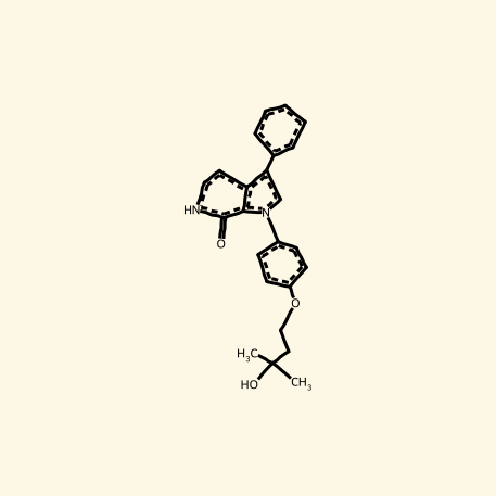 CC(C)(O)CCOc1ccc(-n2cc(-c3ccccc3)c3cc[nH]c(=O)c32)cc1